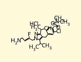 CC(C)c1nn(C/C(F)=C/CN)c(C(C)C)c1Cc1ccc(S(=O)(=O)N(C)C)c(Cl)c1.Cl